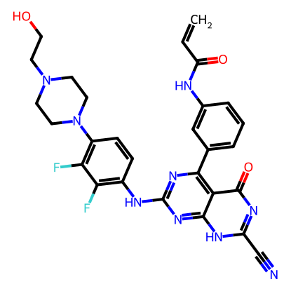 C=CC(=O)Nc1cccc(-c2nc(Nc3ccc(N4CCN(CCO)CC4)c(F)c3F)nc3[nH]c(C#N)nc(=O)c23)c1